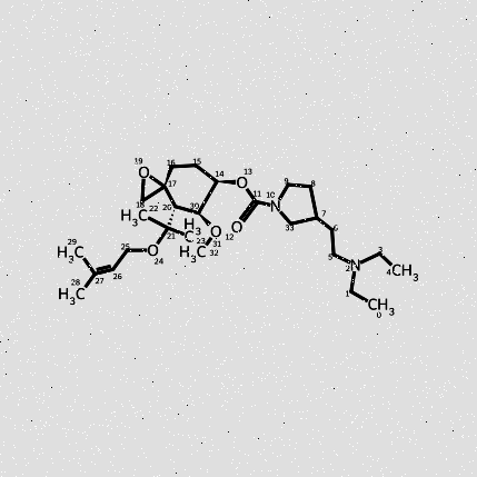 CCN(CC)CCC1CCN(C(=O)O[C@@H]2CC[C@]3(CO3)[C@@H](C(C)(C)OCC=C(C)C)[C@@H]2OC)C1